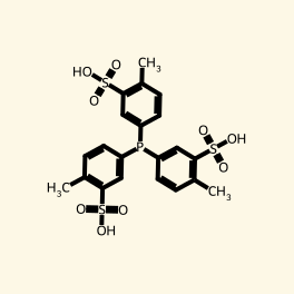 Cc1ccc(P(c2ccc(C)c(S(=O)(=O)O)c2)c2ccc(C)c(S(=O)(=O)O)c2)cc1S(=O)(=O)O